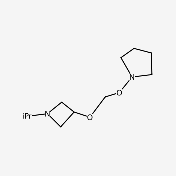 CC(C)N1CC(OCON2CCCC2)C1